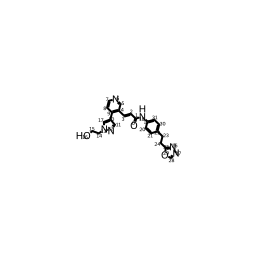 O=C(/C=C/c1cnccc1-c1cnn(CCO)c1)Nc1ccc(CCc2nnco2)cc1